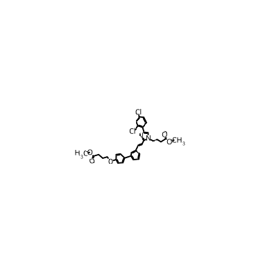 COC(=O)CCCOc1ccc(-c2cccc(C=Cc3nc(-c4ccc(Cl)cc4Cl)cn3CCCC(=O)OC)c2)cc1